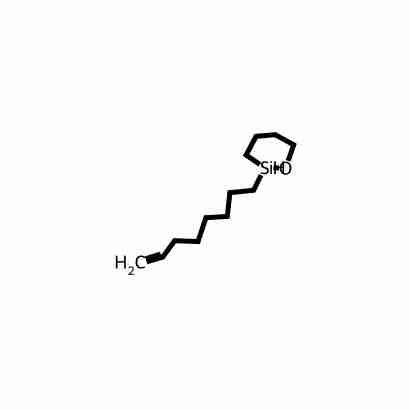 C=CCCCCCC[SiH]1CCCCO1